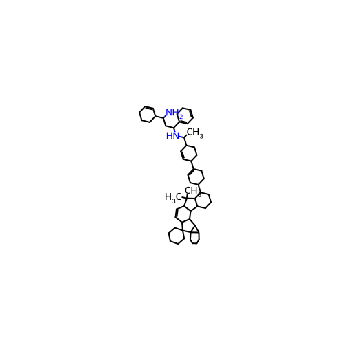 CC(NC(CC(N)C1C=CCCC1)C1=CC=CCC1)C1C=CC(C2=CCC(C3CCCC4C5C6C(C=CC5C(C)(C)C34)C3(CCCCC3)C34CCCCC3C64)CC2)CC1